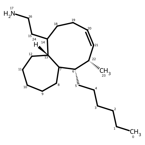 CCCCCC[C@@H]1C2CCCCC[C@@H]2C(CCN)CC/C=C\[C@@H]1C